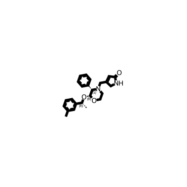 Cc1cccc([C@@H](C)O[C@H]2OCCN(CC3=CC(=O)NC3)[C@H]2c2ccccc2)c1